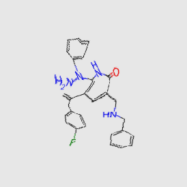 C=C(c1ccc(F)cc1)c1cc(CNCc2ccccc2)c(=O)[nH]c1N(N)c1ccccc1